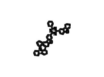 c1ccc(-c2nc(-c3ccc4c(c3)oc3cc(-c5cccc6c7ccccc7n(-c7ccccc7)c56)ccc34)nc(-c3ccc4oc5ccccc5c4c3)n2)cc1